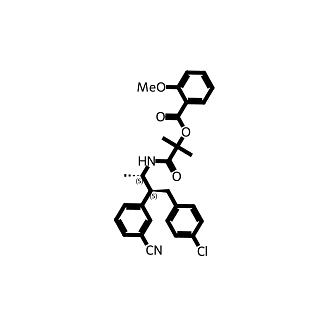 COc1ccccc1C(=O)OC(C)(C)C(=O)N[C@@H](C)[C@@H](Cc1ccc(Cl)cc1)c1cccc(C#N)c1